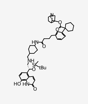 CC(C)(C)[Si](C)(C)O[C@@H](CNCC1CCC(NC(=O)CCCc2cccc(C3(C(=O)OC4CN5CCC4CC5)CCCCC3)c2)CC1)c1ccc(O)c2[nH]c(=O)ccc12